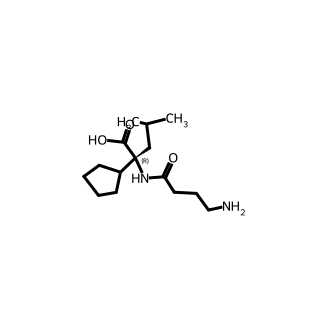 CC(C)C[C@](NC(=O)CCCN)(C(=O)O)C1CCCC1